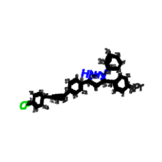 CC(C)c1ccc(C2C=C(c3ccc(C#Cc4ccc(Cl)cc4)cc3)NN2c2ccccc2)cc1